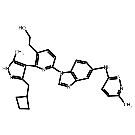 Cc1ccc(Nc2ccc3c(c2)ncn3-c2ccc(CCO)c(-c3c(CC4CCC4)n[nH]c3C)n2)nn1